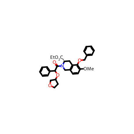 CCOC(=O)[C@@H]1Cc2c(ccc(OC)c2OCc2ccccc2)CN1C(=O)C(OC1CCOC1)c1ccccc1